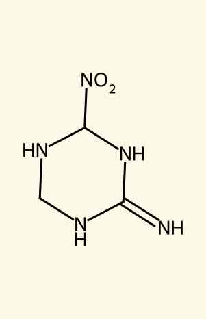 N=C1NCNC([N+](=O)[O-])N1